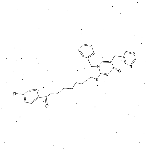 O=C(CCCCCCCSc1nc(=O)c(Cc2cncnc2)cn1Cc1ccccc1)c1ccc(Cl)cc1